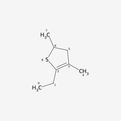 CCC1=C(C)CC(C)S1